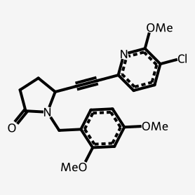 COc1ccc(CN2C(=O)CCC2C#Cc2ccc(Cl)c(OC)n2)c(OC)c1